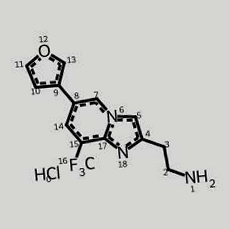 Cl.NCCc1cn2cc(-c3ccoc3)cc(C(F)(F)F)c2n1